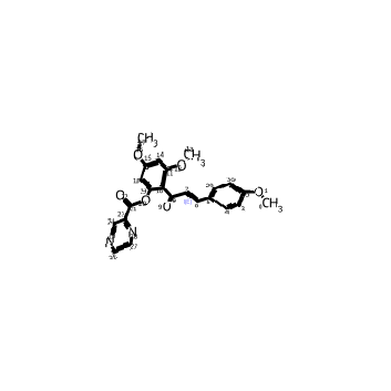 COc1ccc(/C=C/C(=O)c2c(OC)cc(OC)cc2OC(=O)c2cnccn2)cc1